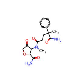 CN(C(=O)[CH]CC(C)(C(N)=O)c1ccccc1)C1C(=O)COC1C(N)=O